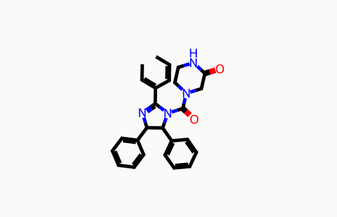 C/C=C\C(=C/C)C1=NC(c2ccccc2)C(c2ccccc2)N1C(=O)N1CCNC(=O)C1